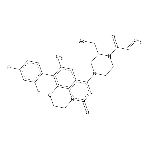 C=CC(=O)N1CCN(c2nc(=O)n3c4c(c(-c5ccc(F)cc5F)c(C(F)(F)F)cc24)OCC3)CC1CC(C)=O